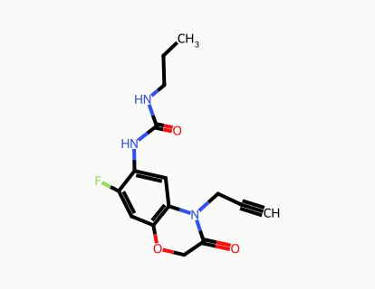 C#CCN1C(=O)COc2cc(F)c(NC(=O)NCCC)cc21